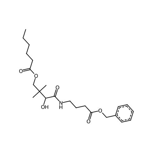 CCCCCC(=O)OCC(C)(C)C(O)C(=O)NCCCC(=O)OCc1ccccc1